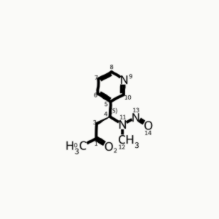 CC(=O)C[C@@H](c1cccnc1)N(C)N=O